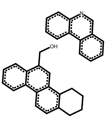 OCc1cc2c3c(ccc2c2ccccc12)CCCC3.c1ccc2c(c1)cnc1ccccc12